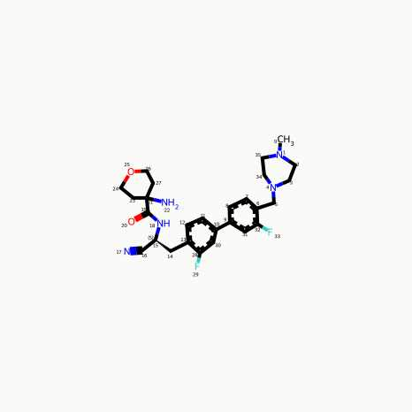 CN1CCN(Cc2ccc(-c3ccc(C[C@@H](C#N)NC(=O)C4(N)CCOCC4)c(F)c3)cc2F)CC1